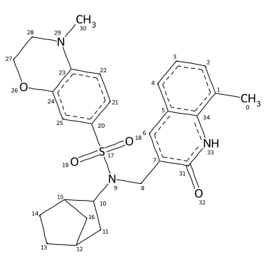 Cc1cccc2cc(CN(C3CC4CCC3C4)S(=O)(=O)c3ccc4c(c3)OCCN4C)c(=O)[nH]c12